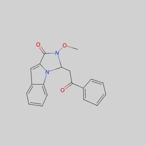 CON1C(=O)c2cc3ccccc3n2C1CC(=O)c1ccccc1